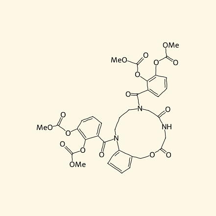 COC(=O)Oc1cccc(C(=O)N2CCCN(C(=O)c3cccc(OC(=O)OC)c3OC(=O)OC)c3ccccc3COC(=O)CNC(=O)C2)c1OC(=O)OC